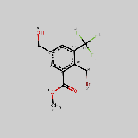 COC(=O)c1cc(CO)cc(C(F)(F)F)c1CBr